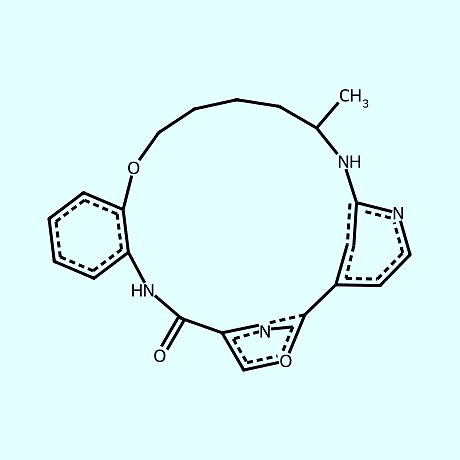 CC1CCCCOc2ccccc2NC(=O)c2coc(n2)-c2ccnc(c2)N1